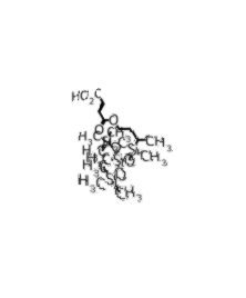 CC(CCOC(=O)C=CC(=O)O)[Si](C)(C)O[Si](C)(O[Si](C)(C)C)O[Si](C)(C)C